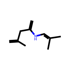 C=C(C)CC(=C)NC=C(C)C